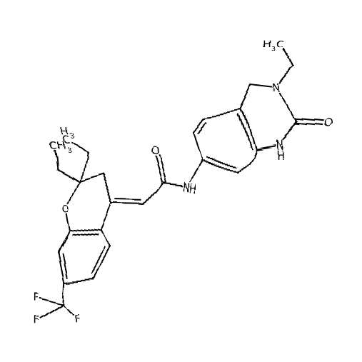 CCN1Cc2ccc(NC(=O)/C=C3\CC(CC)(CC)Oc4cc(C(F)(F)F)ccc43)cc2NC1=O